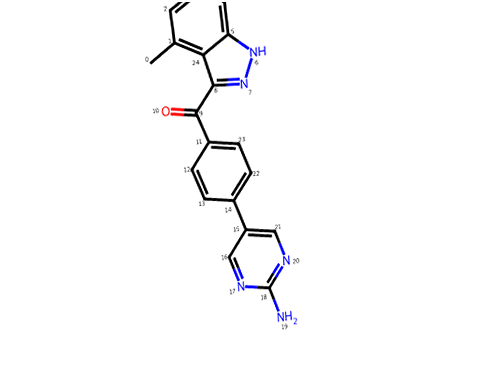 Cc1cccc2[nH]nc(C(=O)c3ccc(-c4cnc(N)nc4)cc3)c12